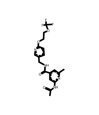 CC(=O)Nc1cc(C(=O)NCc2ccc(OCCOC(F)(F)F)nc2)cc(C)n1